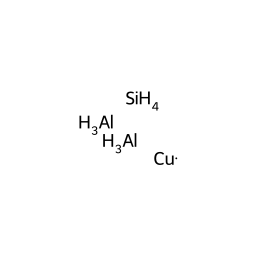 [AlH3].[AlH3].[Cu].[SiH4]